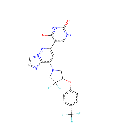 O=c1[nH]cc(-c2cc(N3CC(Oc4ccc(C(F)(F)F)cc4)C(F)(F)C3)c3nccn3n2)c(=O)[nH]1